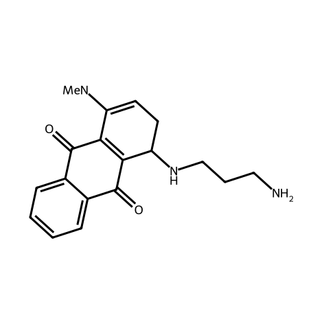 CNC1=CCC(NCCCN)C2=C1C(=O)c1ccccc1C2=O